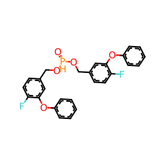 O=[PH](OCc1ccc(F)c(Oc2ccccc2)c1)OCc1ccc(F)c(Oc2ccccc2)c1